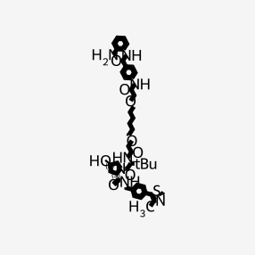 Cc1ncsc1-c1ccc(CNC(=O)[C@@H]2C[C@@H](O)CN2C(=O)C(NC(=O)COCCCCCCOCC(=O)Nc2ccc(C(=O)Nc3ccccc3N)cc2)C(C)(C)C)cc1